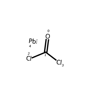 O=C(Cl)Cl.[Pb]